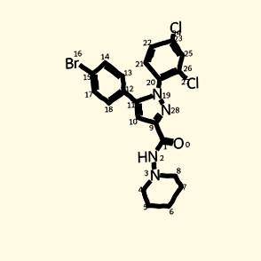 O=C(NN1CCCCC1)c1cc(-c2ccc(Br)cc2)n(-c2ccc(Cl)cc2Cl)n1